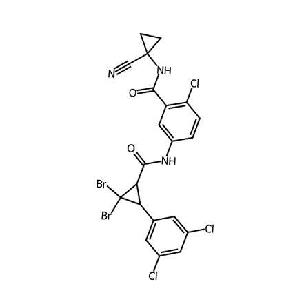 N#CC1(NC(=O)c2cc(NC(=O)C3C(c4cc(Cl)cc(Cl)c4)C3(Br)Br)ccc2Cl)CC1